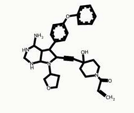 C=CC(=O)N1CCC(O)(C#CC2C(c3ccc(Oc4ccccc4)cc3)C3C(N)NCNC3N2C2CCOC2)CC1